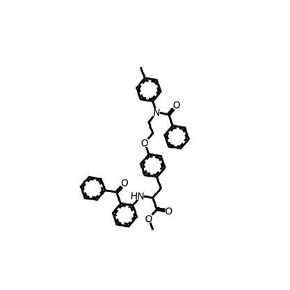 COC(=O)C(Cc1ccc(OCCN(C(=O)c2ccccc2)c2ccc(C)cc2)cc1)Nc1ccccc1C(=O)c1ccccc1